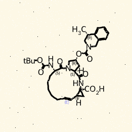 C[C@H]1CN(C(=O)O[C@@H]2C[C@H]3C(=O)N[C@]4(C(=O)O)C[C@H]4/C=C/CCCCC[C@H](NC(=O)OC(C)(C)C)C(=O)N3C2)Cc2ccccc21